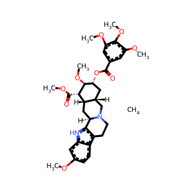 C.COC(=O)[C@H]1[C@H]2C[C@@H]3c4[nH]c5cc(OC)ccc5c4CCN3C[C@H]2C[C@@H](OC(=O)c2cc(OC)c(OC)c(OC)c2)[C@@H]1OC